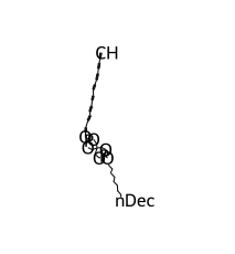 C#CC#CC#CC#CC#CC#CC#CC#COP1OCC2(CO1)COP(OCCCCCCCCCCCCCCCCCC)OC2